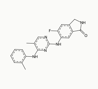 Cc1ccccc1Nc1nc(Nc2cc3c(cc2F)CNC3=O)ncc1C